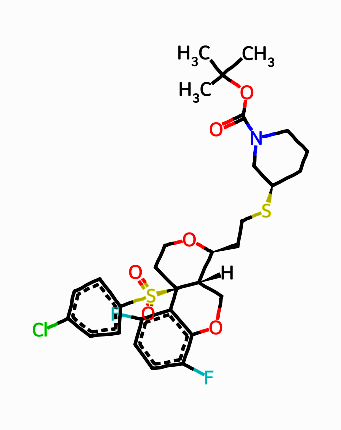 CC(C)(C)OC(=O)N1CCC[C@@H](SCC[C@@H]2OCC[C@@]3(S(=O)(=O)c4ccc(Cl)cc4)c4c(F)ccc(F)c4OC[C@@H]23)C1